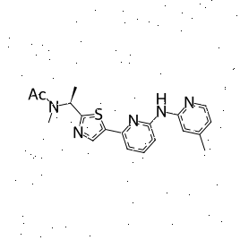 CC(=O)N(C)[C@@H](C)c1ncc(-c2cccc(Nc3cc(C)ccn3)n2)s1